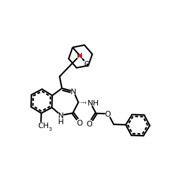 Cc1cccc2c1NC(=O)[C@@H](NC(=O)OCc1ccccc1)N=C2CN1CC2CCC(CC2)C1